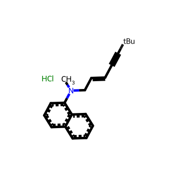 CN(C/C=C/C#CC(C)(C)C)c1cccc2ccccc12.Cl